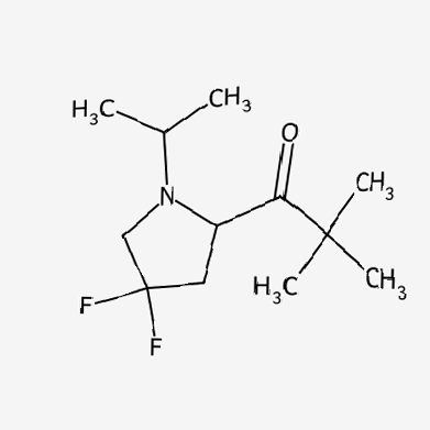 CC(C)N1CC(F)(F)CC1C(=O)C(C)(C)C